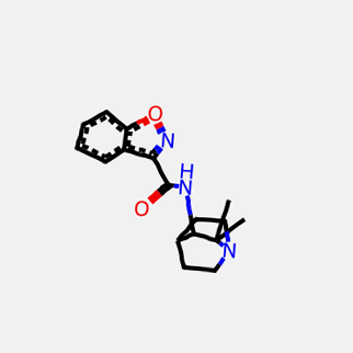 CC1(C)C(NC(=O)c2noc3ccccc23)C2CCN1CC2